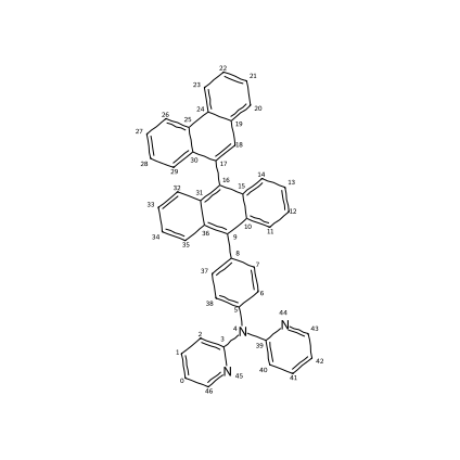 c1ccc(N(c2ccc(-c3c4ccccc4c(-c4cc5ccccc5c5ccccc45)c4ccccc34)cc2)c2ccccn2)nc1